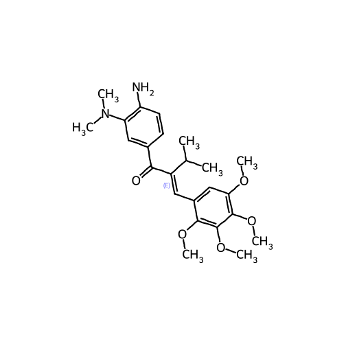 COc1cc(/C=C(/C(=O)c2ccc(N)c(N(C)C)c2)C(C)C)c(OC)c(OC)c1OC